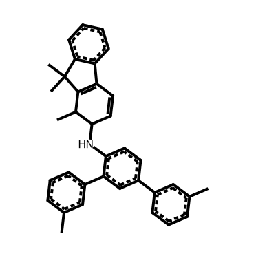 Cc1cccc(-c2ccc(NC3C=CC4=C(C3C)C(C)(C)c3ccccc34)c(-c3cccc(C)c3)c2)c1